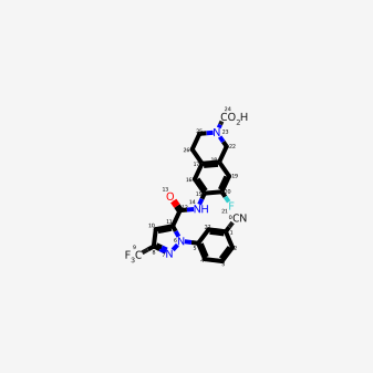 N#Cc1cccc(-n2nc(C(F)(F)F)cc2C(=O)Nc2cc3c(cc2F)CN(C(=O)O)CC3)c1